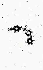 N#Cc1ccc(CNC(=S)N2CCC(Cc3ccccc3)CC2)cc1